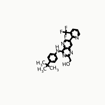 CC(C)(C)c1ccc(Nc2nc(CO)nc3cc(-c4ncccc4C(F)(F)F)cnc23)cc1